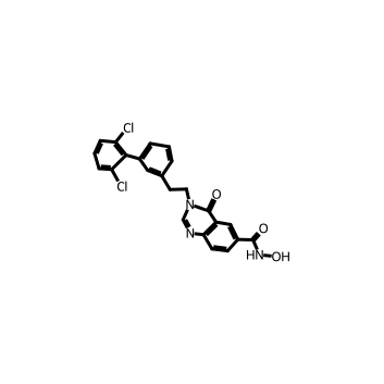 O=C(NO)c1ccc2ncn(CCc3cccc(-c4c(Cl)cccc4Cl)c3)c(=O)c2c1